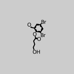 O=Cc1cc(Br)cc(Br)c1OC(=O)CCCO